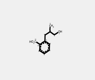 CC(CO)Cc1ccccc1C(=O)O